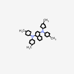 Cc1ccc(N(c2ccc(C)cc2)c2ccc(N(c3ccc(C)cc3)c3ccc(C)cc3)c3ccccc23)cc1